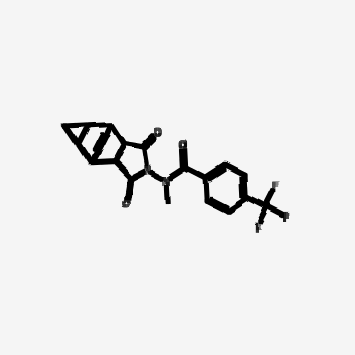 CN(C(=O)c1ccc(C(F)(F)F)cc1)N1C(=O)C2C3C=CC(C4CC34)C2C1=O